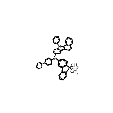 CC1(C)c2ccccc2-c2cc(N(c3ccc(C4=CC=CCC4)cc3)c3ccc4c(c3)c3ccc5ccccc5c3n4-c3ccccc3)ccc21